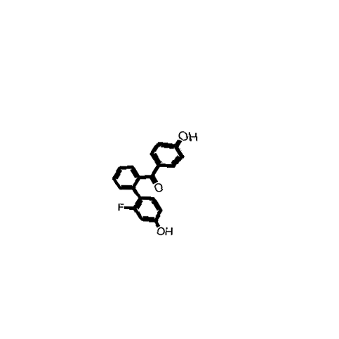 O=C(c1ccc(O)cc1)c1ccccc1-c1ccc(O)cc1F